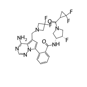 Nc1ncnn2c(-c3ccccc3C(=O)N[C@@H]3CN(C(=O)C4CC4(F)F)C[C@@H]3F)cc(CN3CC(F)(F)C3)c12